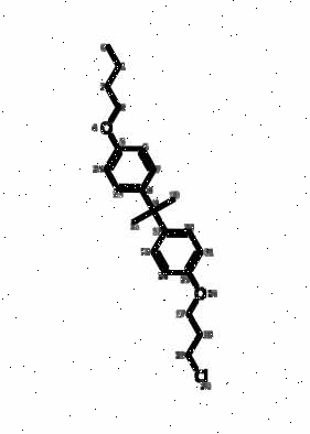 CCCCOc1ccc(C(C)(C)c2ccc(OCCCCl)cc2)cc1